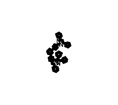 c1ccc(-c2cc(-c3ccccc3)nc(-c3ccc(-c4cccc(-c5ccc6cc(-c7ccccc7)n7nc(-c8ccccc8)c(-c8ccccc8)c7c6c5)c4)cc3)n2)cc1